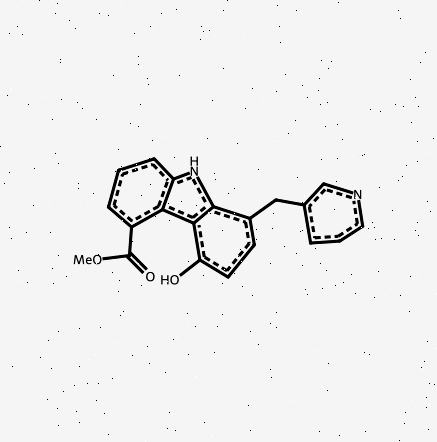 COC(=O)c1cccc2[nH]c3c(Cc4cccnc4)ccc(O)c3c12